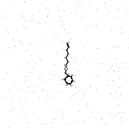 C=CCCCCCOCc1ccccc1